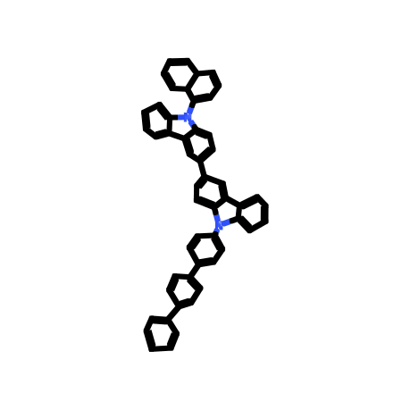 C1=CC2C=CC=C(n3c4ccccc4c4cc(-c5ccc6c(c5)c5ccccc5n6-c5ccc(-c6ccc(-c7ccccc7)cc6)cc5)ccc43)C2C=C1